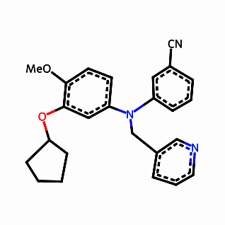 COc1ccc(N(Cc2cccnc2)c2cccc(C#N)c2)cc1OC1CCCC1